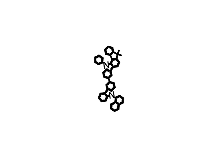 CC1(C)c2ccccc2-c2c1ccc1c3cc(-c4ccc5c(c4)c4ccccc4n5-c4cccc5ccccc45)ccc3n(-c3ccccc3)c21